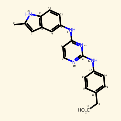 Cc1cc2cc(Nc3ccnc(Nc4ccc(CC(=O)O)cc4)n3)ccc2[nH]1